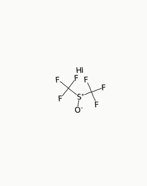 I.[O-][S+](C(F)(F)F)C(F)(F)F